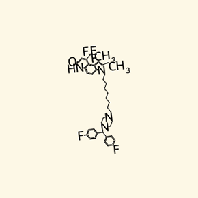 CCc1c(C)c2c3c(C(F)(F)F)cc(=O)[nH]c3ccc2n1CCCCCCCCCN1CCN(C(c2ccc(F)cc2)c2ccc(F)cc2)CC1